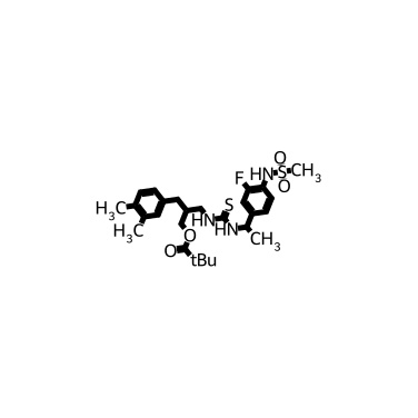 Cc1ccc(CC(CNC(=S)NC(C)c2ccc(NS(C)(=O)=O)c(F)c2)COC(=O)C(C)(C)C)cc1C